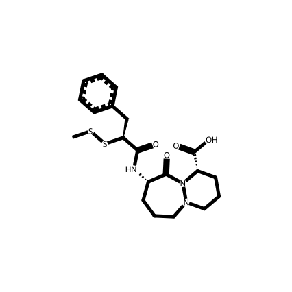 CSS[C@@H](Cc1ccccc1)C(=O)N[C@H]1CCCN2CCC[C@@H](C(=O)O)N2C1=O